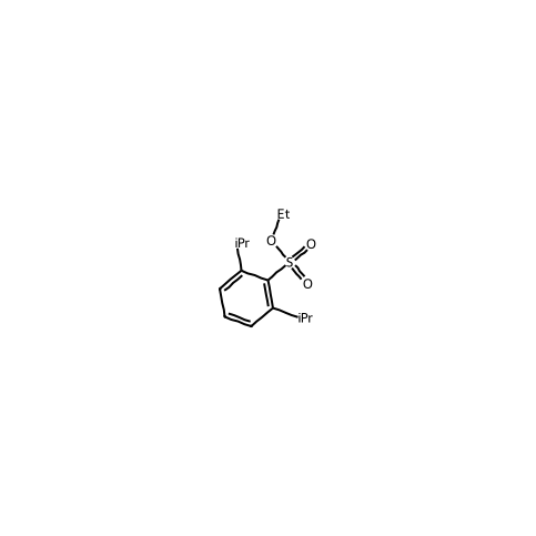 CCOS(=O)(=O)c1c(C(C)C)cccc1C(C)C